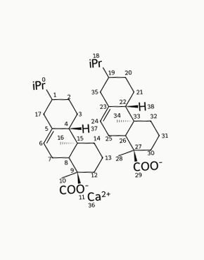 CC(C)C1CC[C@H]2C(=CCC3[C@](C)(C(=O)[O-])CCC[C@@]32C)C1.CC(C)C1CC[C@H]2C(=CCC3[C@](C)(C(=O)[O-])CCC[C@@]32C)C1.[Ca+2]